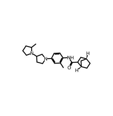 Cc1cc(N2CCC(N3CCCC3C)C2)ccc1NC(=O)C1C[C@@H]2CC[C@H]1C2